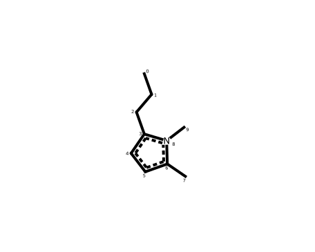 CCCc1ccc(C)n1C